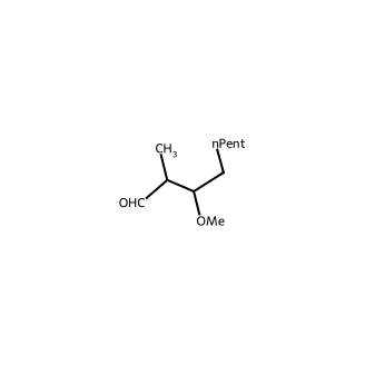 CCCCCCC(OC)C(C)C=O